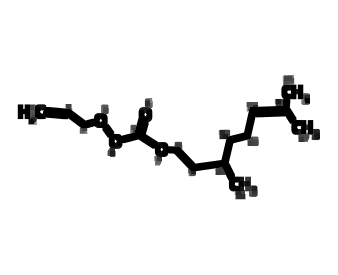 C=CCOOC(=O)OCCC(C)CCC=C(C)C